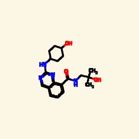 CC(C)(O)CNC(=O)c1cccc2cnc(NC3CCC(O)CC3)nc12